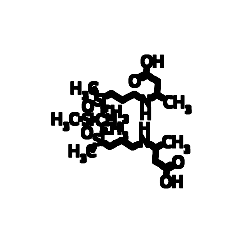 CC(CC(=O)O)NCCC[Si](C)(C)O[Si](C)(C)O[Si](C)(C)CCCNC(C)CC(=O)O